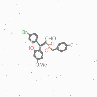 COc1ccc(C(=C(C=O)S(=O)(=O)Cc2ccc(Cl)cc2)c2ccc(Br)cc2)c(O)c1